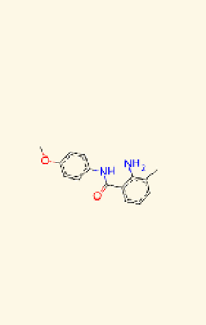 COc1ccc(NC(=O)c2cccc(C)c2N)cc1